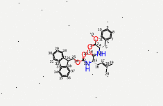 COC(=O)[C@H](Cc1ccccc1)NC(=O)[C@H](CC=C(C)C)NC(=O)OCC1c2ccccc2-c2ccccc21